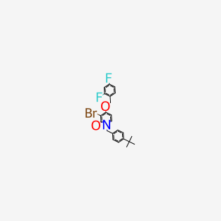 CC(C)(C)c1ccc(Cn2ccc(OCc3ccc(F)cc3F)c(Br)c2=O)cc1